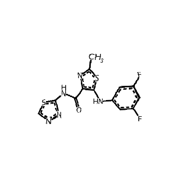 Cc1nc(C(=O)Nc2nncs2)c(Nc2cc(F)cc(F)c2)s1